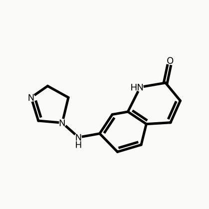 O=c1ccc2ccc(NN3C=NCC3)cc2[nH]1